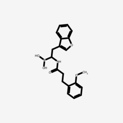 COc1ccccc1CCC(=O)NC(Cc1coc2ccccc12)B(O)O